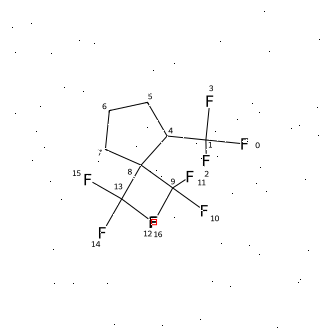 FC(F)(F)C1CCCC1(C(F)(F)F)C(F)(F)F